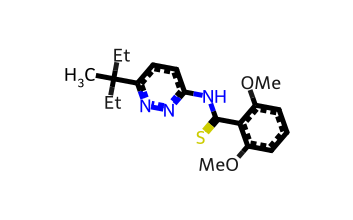 CCC(C)(CC)c1ccc(NC(=S)c2c(OC)cccc2OC)nn1